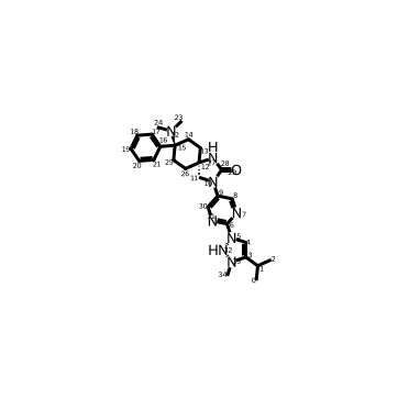 CC(C)C1=CN(c2ncc(N3C[C@]4(CC[C@](c5ccccc5)(N(C)C)CC4)NC3=O)cn2)NN1C